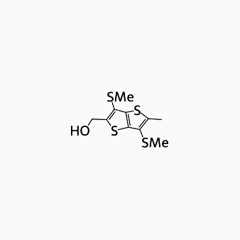 CSc1c(C)sc2c(SC)c(CO)sc12